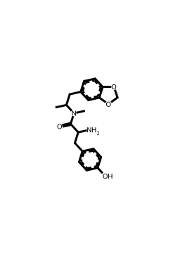 CC(Cc1ccc2c(c1)OCO2)N(C)C(=O)C(N)Cc1ccc(O)cc1